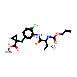 C=CCOC(=O)NC(C(=O)Nc1cc(CC2(C(=O)OC(C)(C)C)CC2)ccc1Cl)[C@@H](C)C(F)(F)F